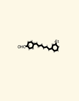 CCC1CCCC(CCCCCCC2CCC(C=O)CC2)C1